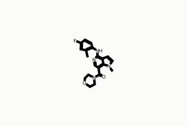 Cc1cc(F)ccc1Nc1ncc(C(=O)N2CCOCC2)c2c1ccn2C